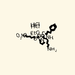 CCOC(=O)C(CCc1ccccc1)NC(CCCCN)C(=O)N1CCC[C@H]1C(=O)OCCCCO[N+](=O)[O-].Cl.Cl